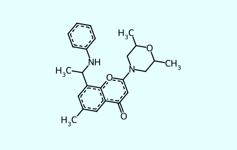 Cc1cc(C(C)Nc2ccccc2)c2oc(N3CC(C)OC(C)C3)cc(=O)c2c1